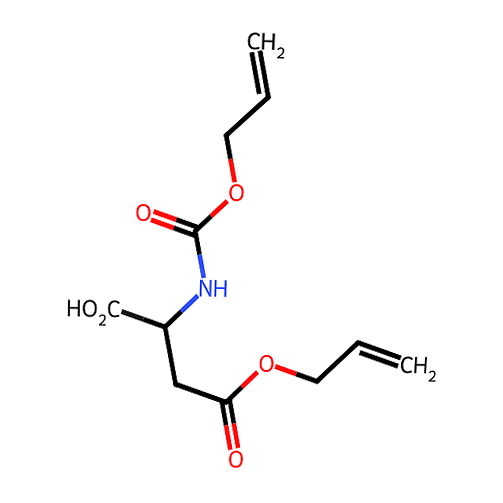 C=CCOC(=O)CC(NC(=O)OCC=C)C(=O)O